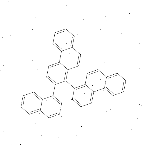 c1ccc2c(-c3ccc4c(ccc5ccccc54)c3-c3cccc4c3ccc3ccccc34)cccc2c1